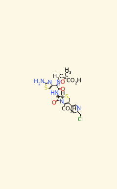 CC(C)(O/N=C(\C(=O)N[C@@H]1C(=O)N2C(C(=O)O)=C(c3ccc(CCl)nc3)CS[C@H]12)c1csc(N)n1)C(=O)O